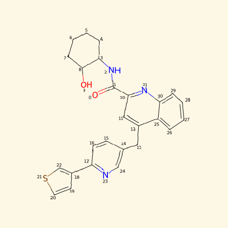 O=C(NC1CCCCC1O)c1cc(Cc2ccc(-c3ccsc3)nc2)c2ccccc2n1